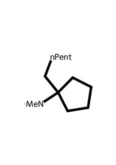 CCCCCCC1([N]C)CCCC1